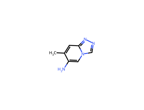 Cc1cc2nncn2cc1N